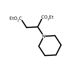 CCOC(=O)CC(C(=O)OCC)N1CCCCC1